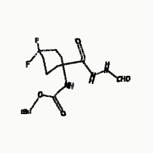 CC(C)(C)OC(=O)NC1(C(=O)NNC=O)CC(F)(F)C1